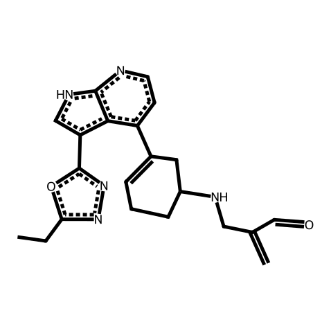 C=C(C=O)CNC1CCC=C(c2ccnc3[nH]cc(-c4nnc(CC)o4)c23)C1